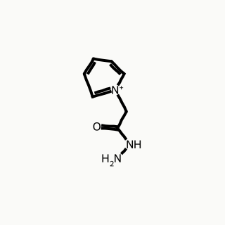 NNC(=O)C[n+]1ccccc1